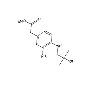 COC(=O)Cc1ccc(NCC(C)(C)O)c(N)c1